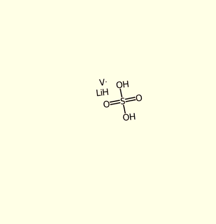 O=S(=O)(O)O.[LiH].[V]